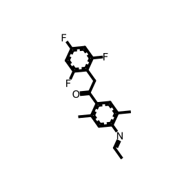 C/C=N/c1cc(C)c(C(=O)Cc2c(F)cc(F)cc2F)cc1C